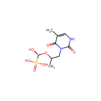 Cc1c[nH]c(=O)n(CC(C)O[C@H](O)P(=O)(O)O)c1=O